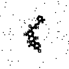 CC1NC=C(C(=O)NCCN2CCCC2(C)C)C=C1NC1NN(C)c2nc(Cl)ncc21